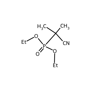 CCOP(=O)(OCC)C(C)(C)C#N